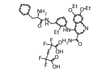 CCOc1cc2ncc(C(N)=O)c(Nc3cccc(CNC(=O)[C@H](N)Cc4ccccc4)c3CC)c2cc1OCC.O=C(O)C(F)(F)F.O=C(O)C(F)(F)F